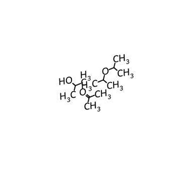 CC(C)=O.CC(C)O.CC(C)OC(C)C